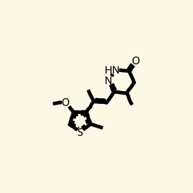 COc1csc(C)c1C(C)=CC1=NNC(=O)CC1C